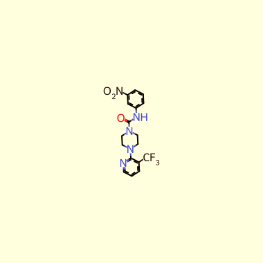 O=C(Nc1cccc([N+](=O)[O-])c1)N1CCN(c2ncccc2C(F)(F)F)CC1